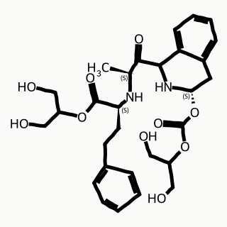 C[C@H](N[C@@H](CCc1ccccc1)C(=O)OC(CO)CO)C(=O)C1N[C@@H](OC(=O)OC(CO)CO)Cc2ccccc21